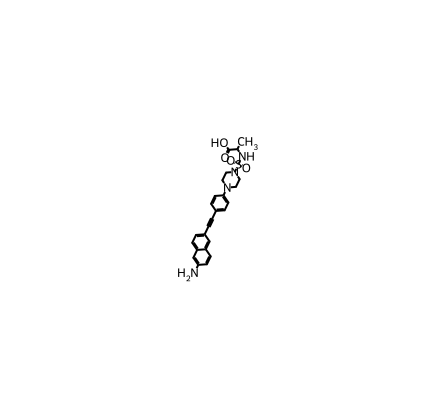 CC(NS(=O)(=O)N1CCN(c2ccc(C#Cc3ccc4cc(N)ccc4c3)cc2)CC1)C(=O)O